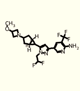 COC1CN(C2C[C@@H]3C(c4cc(-c5cnc(N)c(C(F)(F)F)c5)nn4CC(F)F)[C@@H]3C2)C1